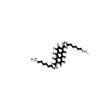 CCCCCCc1nnc(-c2c(F)c(F)c3c(F)c4c(F)c(-c5nnc(CCCCCC)s5)c(F)c(F)c4c(F)c3c2F)s1